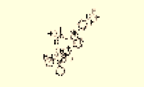 CC(C)(C)[Si](O[C@@H]1CCN(c2ccnc3c2c(CNC(=O)O)nn3-c2ccc(OC(F)(F)F)cc2)C1)(c1ccccc1)c1ccccc1